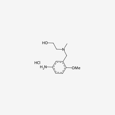 COc1ccc(N)cc1CN(C)CCO.Cl